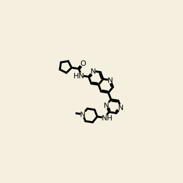 CN1CCC(Nc2cncc(-c3cnc4cnc(NC(=O)C5CCCC5)cc4c3)n2)CC1